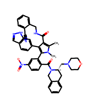 Cc1c(C(=O)NCc2ccccc2C#N)c(-c2ccc3cn[nH]c3c2)c(-c2cc([N+](=O)[O-])ccc2C(=O)N2Cc3ccccc3C[C@H]2CN2CCOCC2)n1C